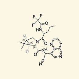 CCCC(NC(=O)C(F)(F)F)C(=O)N1C[C@H]2[C@@H]([C@H]1C(=O)NC(C#N)c1cncc3cccnc13)C2(C)C